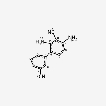 N#Cc1cccc(-c2ccc(N)c(C#N)c2N)c1